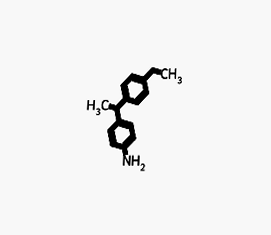 CCc1ccc(C(C)c2ccc(N)cc2)cc1